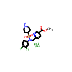 COC(=O)c1ccc(CN(c2ccc(F)c(Cl)c2)S(=O)(=O)C2CCNCC2)nc1.Cl.Cl